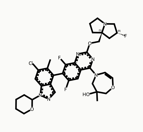 Cc1c(Cl)cc2c(cnn2C2CCCCO2)c1-c1c(F)cc2c(N3C=COCC(C)(O)C3)nc(OC[C@@]34CCCN3C[C@H](F)C4)nc2c1F